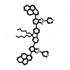 CCCCCCC1(CCCCCC)c2cc(-c3ccc(-c4ccc5ccc6cccc7ccc4c5c67)c4nn(-c5ccncc5)nc34)ccc2-c2ccc(-c3ccc(-c4ccc5ccc6cccc7ccc4c5c67)c4nn(-c5ccncc5)nc34)cc21